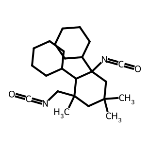 CC1(C)CC(C)(CN=C=O)C(C2CCCCC2)C(N=C=O)(C2CCCCC2)C1